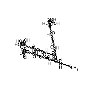 COCCCCCCNC(=O)C[C@H](CCCCNC(=O)COCCOCCNC(=O)CCCCO[C@@H]1OC(CO)[C@@H](O)[C@H](O)C1O)NC(=O)C[C@H](CCCCNC(=O)COCCOCCNC(=O)CCCCO[C@@H]1OC(CO)[C@@H](O)[C@H](O)C1O)NC(=O)CCCNC(=O)COCCOCCNC(=O)CCCCO[C@@H]1OC(CO)[C@@H](O)[C@H](O)C1O